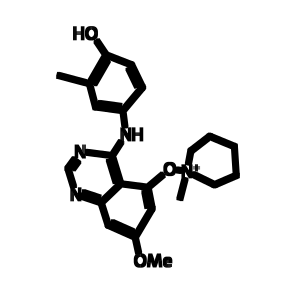 COc1cc(O[N+]2(C)CCCCC2)c2c(Nc3ccc(O)c(C)c3)ncnc2c1